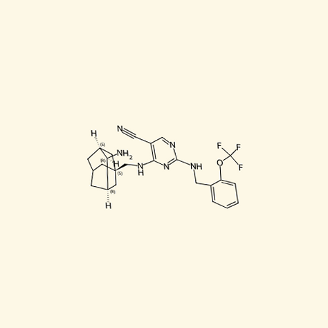 N#Cc1cnc(NCc2ccccc2OC(F)(F)F)nc1NC[C@]12CC3C[C@H](C1)[C@H](N)[C@@H](C3)C2